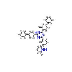 CC1=CC=CC(c2cccc(C3=NC(C4=CC=C(c5ccccc5)CC4C)NC(c4ccc(-c5ccccc5)cc4)=N3)c2)N1